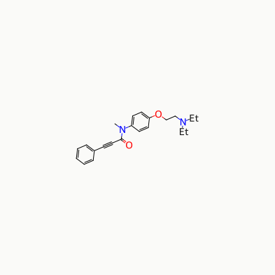 CCN(CC)CCOc1ccc(N(C)C(=O)C#Cc2ccccc2)cc1